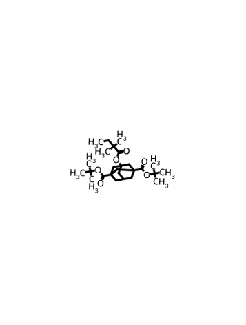 CCC(C)(C)C(=O)OC12CC3CC(C(=O)OC(C)(C)C)(C1)CC(C(=O)OC(C)(C)C)(C3)C2